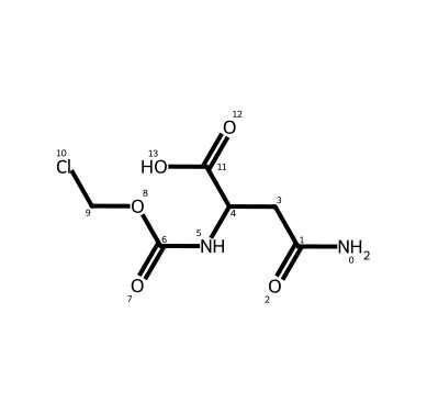 NC(=O)CC(NC(=O)OCCl)C(=O)O